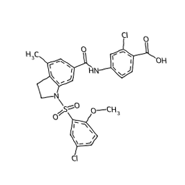 COc1ccc(Cl)cc1S(=O)(=O)N1CCc2c(C)cc(C(=O)Nc3ccc(C(=O)O)c(Cl)c3)cc21